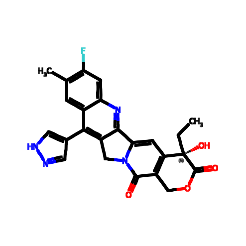 CC[C@@]1(O)C(=O)OCc2c1cc1n(c2=O)Cc2c-1nc1cc(F)c(C)cc1c2-c1cn[nH]c1